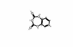 O=C1OC(=O)Oc2cnccc2O1